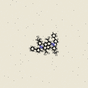 Cc1ccc(-c2ccccc2)cc1N(c1ccc([Si](C)(C)C)cc1)c1cc(C(C)C)c2ccc3c(N(c4ccc([Si](C)(C)C)cc4)c4cc(-c5ccccc5)ccc4C)cc(C(C)C)c4ccc1c2c43